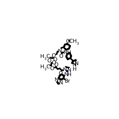 COc1cccc(CN(CCOC(=O)[C@H](C)OC(=O)[C@H](C)OC(=O)CCC(=O)N2CCN/C2=N/c2ccc3nccnc3c2Br)C(=O)Nc2ccc(-c3cn[nH]c3)cc2)c1